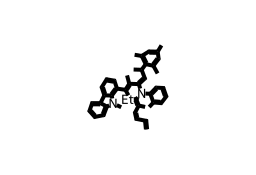 C=C/C=C\C(C)=C(/CC)N(C(=C/C(C)c1c(C)cc(C)cc1C)/C(C)=C(\C)c1cccc2c3ccccc3n(C)c12)c1ccccc1C